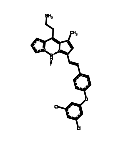 CC1=CC(/C=C/c2ccc(Oc3cc(Cl)cc(Cl)c3)cc2)=[N+]2[BH-](F)n3cccc3C(CCN)=C12